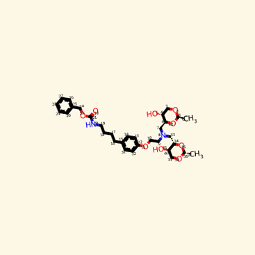 C[C@@H]1OC[C@@H](O)[C@H](CN(CCOc2ccc(CCCCNC(=O)OCc3ccccc3)cc2)C[C@@H]2O[C@H](C)OC[C@H]2O)O1